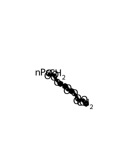 C=C(CC(=O)OCCC)C(=O)OCCCOc1ccc(-c2ccc(OC(=O)c3ccc(OCCCOC(=O)C(=C)CC(=O)OC4CCCCC4)cc3)cc2)cc1